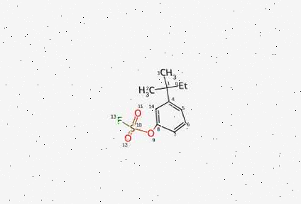 CCC(C)(C)c1cccc(OS(=O)(=O)F)c1